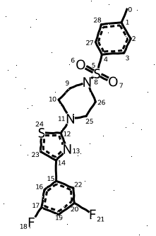 Cc1ccc(S(=O)(=O)N2CCN(c3nc(-c4cc(F)cc(F)c4)cs3)CC2)cc1